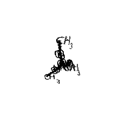 CCCCCCCCOC(=O)OCCCOP(=O)(NC(=N)N(C)C(Cc1ccccc1)C(=O)O)OCCCOC(=O)OCCCCCCCC